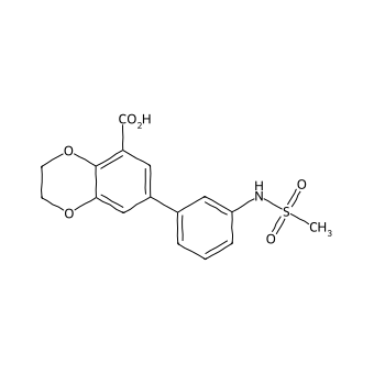 CS(=O)(=O)Nc1cccc(-c2cc3c(c(C(=O)O)c2)OCCO3)c1